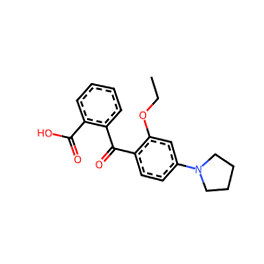 CCOc1cc(N2CCCC2)ccc1C(=O)c1ccccc1C(=O)O